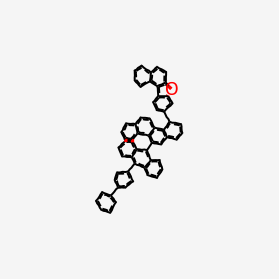 c1ccc(-c2ccc(-c3c4ccccc4c(-c4cc5cccc(-c6ccc7c(c6)oc6ccc8ccccc8c67)c5c5ccc6ccccc6c45)c4ccccc34)cc2)cc1